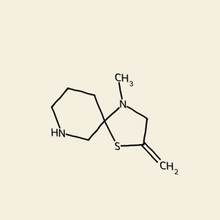 C=C1CN(C)C2(CCCNC2)S1